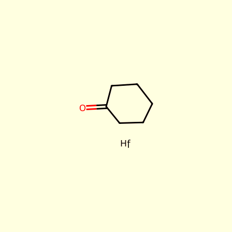 O=C1CCCCC1.[Hf]